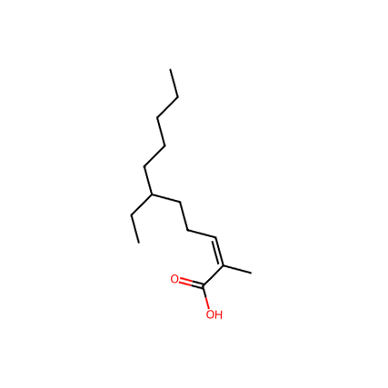 CCCCCC(CC)CCC=C(C)C(=O)O